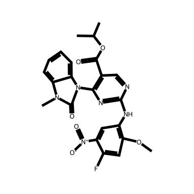 COc1cc(F)c([N+](=O)[O-])cc1Nc1ncc(C(=O)OC(C)C)c(-n2c(=O)n(C)c3ccccc32)n1